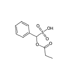 CCC(=O)OC(c1ccccc1)S(=O)(=O)O